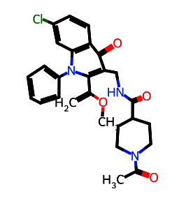 C=C(OC)c1c(CNC(=O)C2CCN(C(C)=O)CC2)c(=O)c2ccc(Cl)cc2n1-c1ccccc1